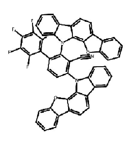 N#Cc1c(-n2c3ccccc3c3ccc4c5ccccc5oc4c32)ccc(-c2c(F)c(F)c(F)c(F)c2F)c1-n1c2ccccc2c2ccc3c4ccccc4oc3c21